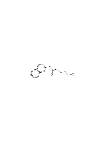 O=C(CCCCCl)Cc1ccc2ccccc2c1